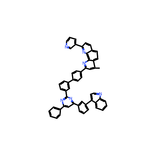 Cc1cc(-c2ccc(-c3cccc(-c4nc(-c5ccccc5)cc(-c5cccc(-c6ccnc7ccccc67)c5)n4)c3)cc2)nc2c1ccc1ccc(-c3cccnc3)nc12